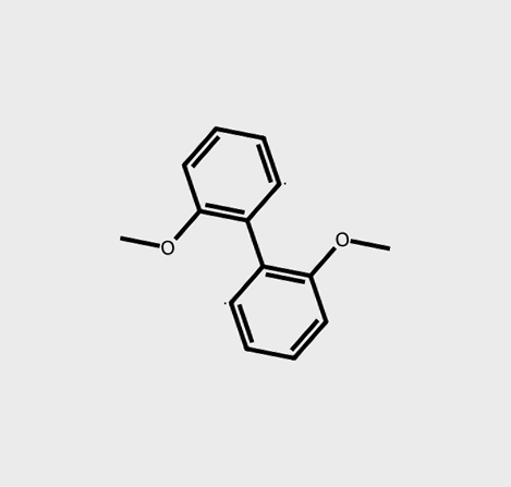 COc1ccc[c]c1-c1[c]cccc1OC